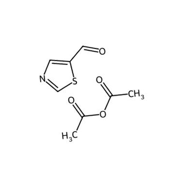 CC(=O)OC(C)=O.O=Cc1cncs1